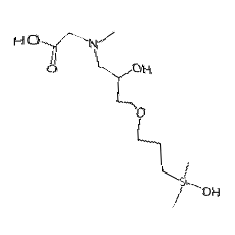 CN(CC(=O)O)CC(O)COCCC[Si](C)(C)O